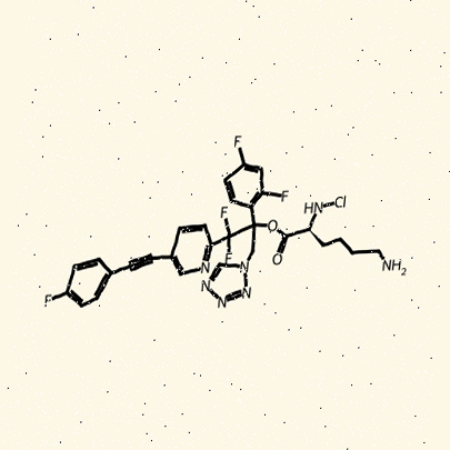 NCCCC[C@H](NCl)C(=O)OC(Cn1cnnn1)(c1ccc(F)cc1F)C(F)(F)c1ccc(C#Cc2ccc(F)cc2)cn1